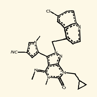 CN=c1c2c(-c3cc(C#N)cn3C)n(Cc3ccnc4ccc(Cl)cc34)nc2n(CC2CC2)c(=O)n1C